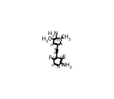 CC1=C(N)N(C)CC(C#Cc2c(F)ccc(N)c2F)=C1